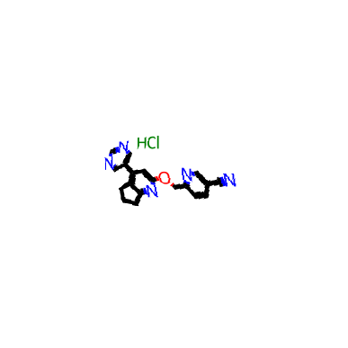 Cl.N#Cc1ccc(COc2cc(-c3cncnc3)c3c(n2)CCC3)nc1